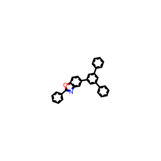 c1ccc(-c2cc(-c3ccccc3)cc(-c3ccc4oc(-c5ccccc5)nc4c3)c2)cc1